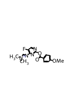 COc1ccc(C(=O)Oc2ncc(F)c(/N=C/N(C)C)n2)cc1